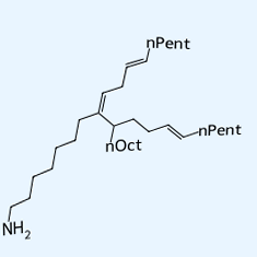 CCCCC/C=C/C/C=C(/CCCCCCCN)C(CC/C=C/CCCCC)CCCCCCCC